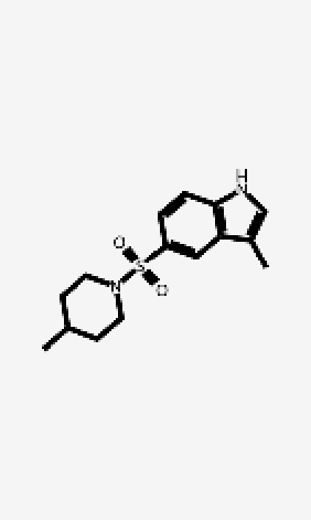 Cc1c[nH]c2ccc(S(=O)(=O)N3CCC(C)CC3)cc12